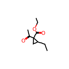 CCOC(=O)C1(C(C)=O)CC1CC